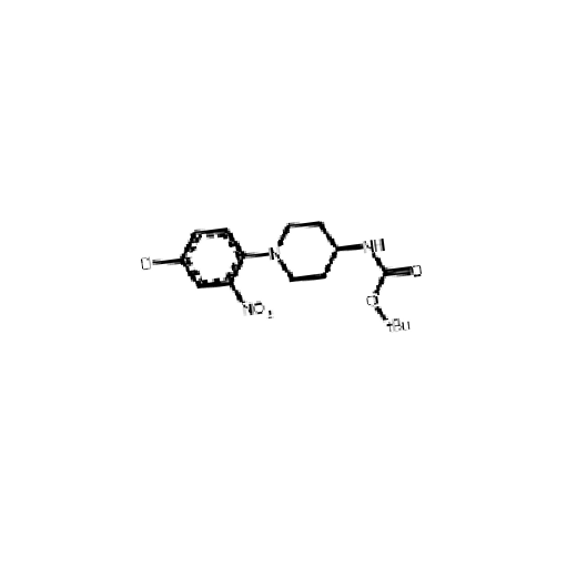 CC(C)(C)OC(=O)NC1CCN(c2ccc(Cl)cc2[N+](=O)[O-])CC1